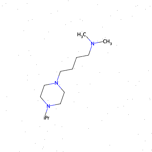 CC(C)N1CCN(CCCCN(C)C)CC1